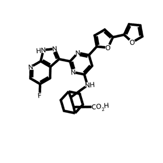 O=C(O)C1C2CCC(CC2)C1Nc1cc(-c2ccc(-c3ccco3)o2)nc(-c2n[nH]c3ncc(F)cc23)n1